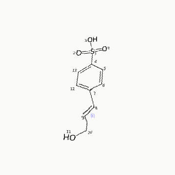 O=S(=O)(O)c1ccc(/C=C/CO)cc1